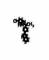 CC(c1nc2ccc(Cl)cc2[nH]1)C1CCC(c2cnc3ccccc3c2)CC1